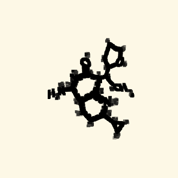 CC(C1CCCO1)n1c(=O)nc(N)c2ccc(C3CC3)nc21